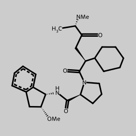 CN[C@@H](C)C(=O)C[C@H](C(=O)N1CCC[C@H]1C(=O)N[C@H]1c2ccccc2C[C@H]1OC)C1CCCCC1